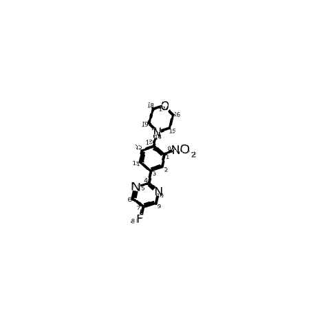 O=[N+]([O-])c1cc(-c2ncc(F)cn2)ccc1N1CCOCC1